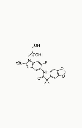 CC(C)(C)c1cc2cc(NC(=O)C3(c4ccc5c(c4)OCO5)CC3)c(F)cc2n1C[C@H](O)CO